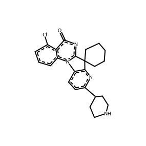 O=c1nc2n(c3cccc(Cl)c13)-c1ccc(C3CCNCC3)nc1C21CCCCC1